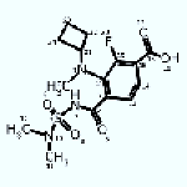 CN(c1c(C(=O)NS(=O)(=O)N(C)C)ccc(C(=O)O)c1F)C1CCC1